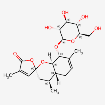 CC1=C[C@@]2(C[C@H](C)[C@H]3CC=C(C)[C@@H](O[C@@H]4O[C@H](CO)[C@@H](O)[C@H](O)[C@H]4O)[C@@H]3O2)OC1=O